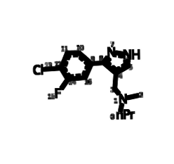 CCCN(C)Cc1c[nH]nc1-c1ccc(Cl)c(F)c1